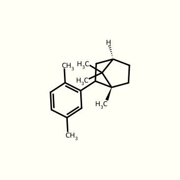 Cc1ccc(C)c(C2C[C@H]3CC[C@@]2(C)C3(C)C)c1